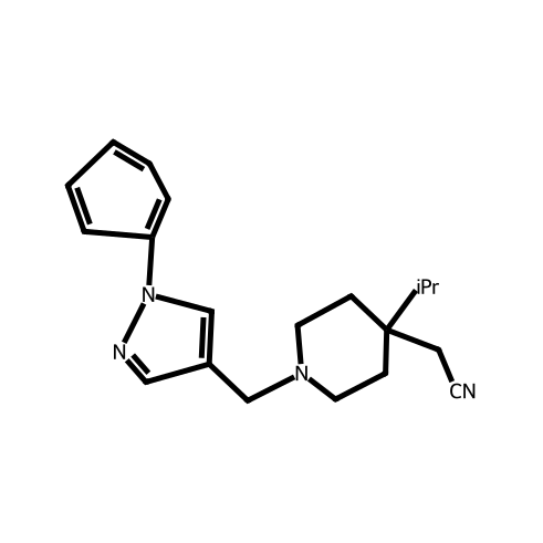 CC(C)C1(CC#N)CCN(Cc2cnn(-c3ccccc3)c2)CC1